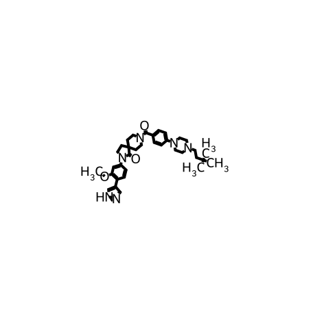 COc1cc(N2CCC3(CCN(C(=O)c4ccc(N5CCN(CCC(C)(C)C)CC5)cc4)CC3)C2=O)ccc1-c1cn[nH]c1